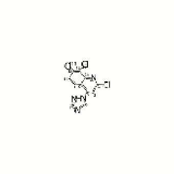 Clc1cc(-n2cncn2)c2ccc(Cl)c(Cl)c2n1